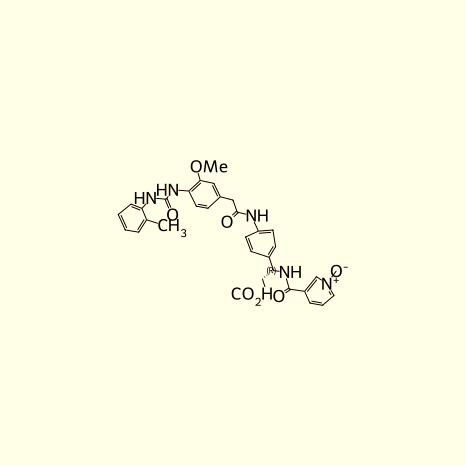 COc1cc(CC(=O)Nc2ccc([C@@H](CC(=O)O)NC(=O)c3ccc[n+]([O-])c3)cc2)ccc1NC(=O)Nc1ccccc1C